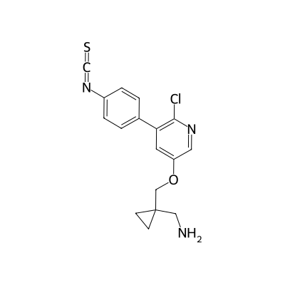 NCC1(COc2cnc(Cl)c(-c3ccc(N=C=S)cc3)c2)CC1